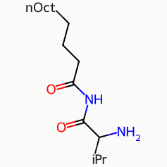 CCCCCCCCCCCC(=O)NC(=O)C(N)C(C)C